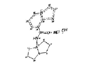 Cl.Cl.O=C(N[N+]12CCCC1CCC2)c1cccn2ccnc12